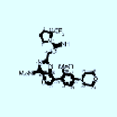 CNc1nc(COC(=N)N2CCC[C@@H]2C(F)(F)F)nc2c(-c3ccc(N4CCOCC4)cc3OC)coc12